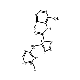 Cc1cccc(Cl)c1NC(=O)[SH]1C=CN=C1Nc1ccnc(Cl)n1